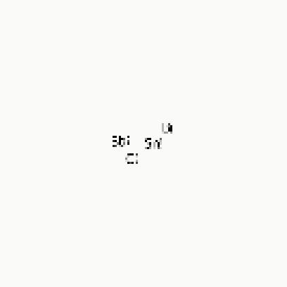 [Bi].[C].[Sb].[Sn]